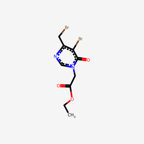 CCOC(=O)Cn1cnc(CBr)c(Br)c1=O